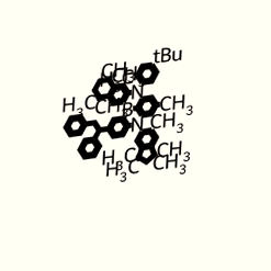 Cc1cc2c3c(c1)N(c1ccc(C(C)(C)C)cc1C)c1cc4c(cc1B3c1cc(C(Cc3ccccc3)c3ccccc3)ccc1N2c1cc2c(cc1C)C(C)(C)CC2(C)C)C(C)(C)CCC4(C)C